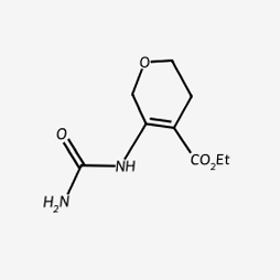 CCOC(=O)C1=C(NC(N)=O)COCC1